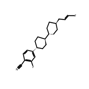 N#Cc1ccc([C@H]2CC[C@H]([C@H]3CC[C@H](CC=CF)CC3)CC2)cc1F